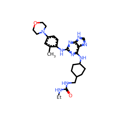 CCNC(=O)NCC1CCC(Nc2nc(Nc3ccc(N4CCOCC4)cc3C)nc3[nH]cnc23)CC1